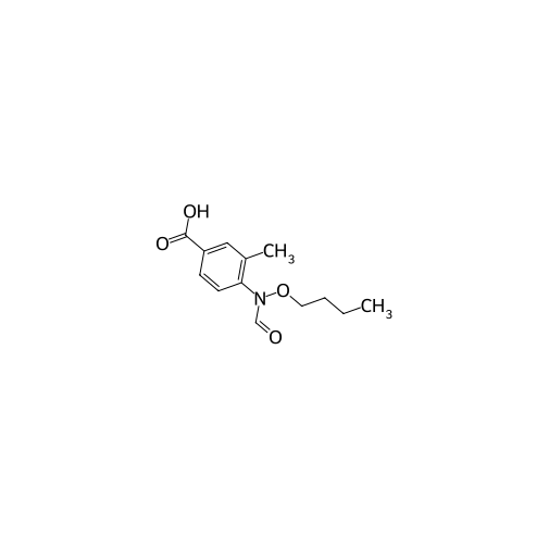 CCCCON(C=O)c1ccc(C(=O)O)cc1C